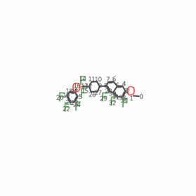 CCOc1cc2ccc(C3CCC(C(F)(F)Oc4cc(F)c(F)c(F)c4)CC3)c(F)c2c(F)c1F